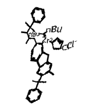 CCCC[C](CCCC)=[Zr+2]([c]1c(CC(C)C(C)C(C)(C)c2ccccc2)ccc2c1Cc1cc(C)c(C(C)(C)c3ccccc3)cc1-2)[CH]1C=CC=C1.[Cl-].[Cl-]